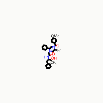 COc1ccc(C(=O)N2C=C(c3ccccc3)N(CC(=O)NC(Cc3ccccc3)C(O)C(F)(F)F)C(=O)C2C(C)C)cc1